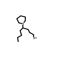 CCCCC(CCCS)N1CCCCC1